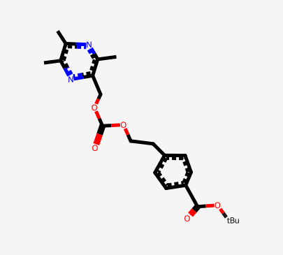 Cc1nc(C)c(COC(=O)OCCc2ccc(C(=O)OC(C)(C)C)cc2)nc1C